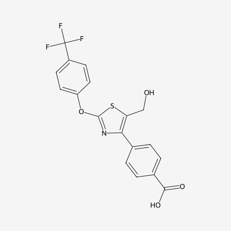 O=C(O)c1ccc(-c2nc(Oc3ccc(C(F)(F)F)cc3)sc2CO)cc1